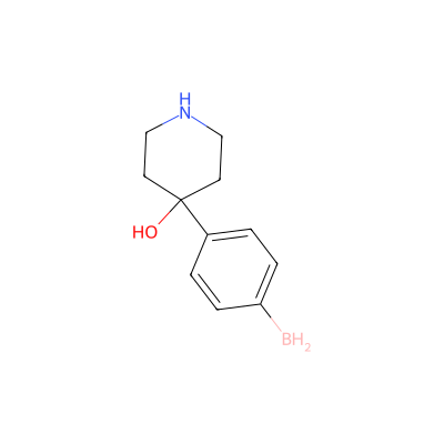 Bc1ccc(C2(O)CCNCC2)cc1